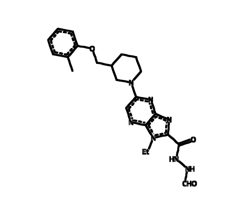 CCn1c(C(=O)NNC=O)nc2nc(N3CCCC(COc4ccccc4C)C3)cnc21